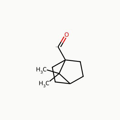 CC1(C)C2CCC1([C]=O)CC2